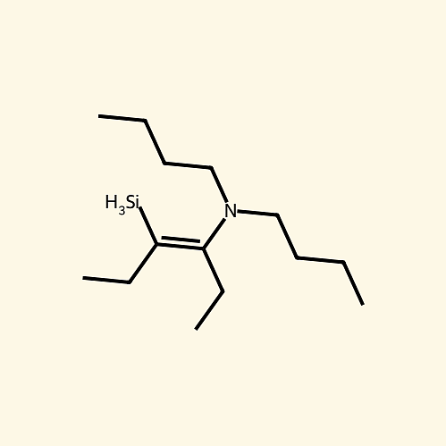 CCCCN(CCCC)C(CC)=C([SiH3])CC